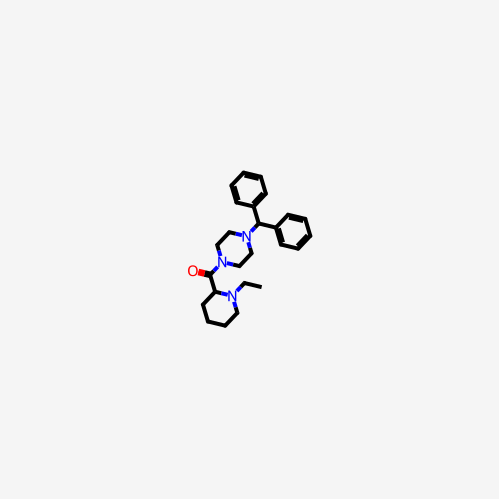 CCN1CCCCC1C(=O)N1CCN(C(c2ccccc2)c2ccccc2)CC1